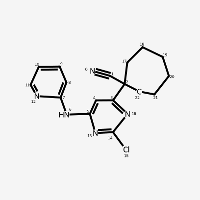 N#CC1(c2cc(Nc3ccccn3)nc(Cl)n2)CCCCCC1